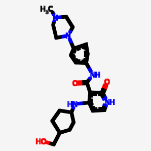 CN1CCN(c2ccc(NC(=O)c3c(NC4CCC(CO)CC4)cc[nH]c3=O)cc2)CC1